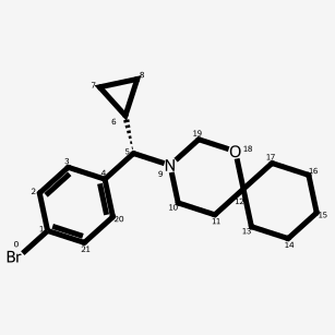 Brc1ccc([C@H](C2CC2)N2CCC3(CCCCC3)OC2)cc1